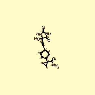 NC(=O)C1(c2ccc(C#CC3(O)NC(=O)NC3=O)cc2)CC1